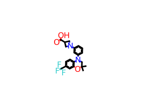 CC1(C)CN(c2cccc(N3CC(C(=O)O)C3)c2)c2ccc(C(F)(F)F)cc2O1